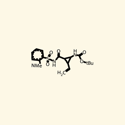 C=CC1C(NC(=O)OC(C)(C)C)C1C(=O)NS(=O)(=O)c1ccccc1NC